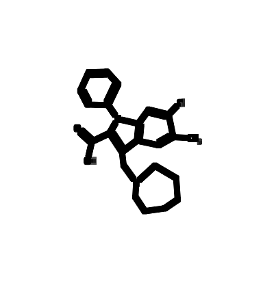 Cc1cc2c(CN3CCCCCC3)c(C(=O)O)n(-c3ccccc3)c2cc1Cl